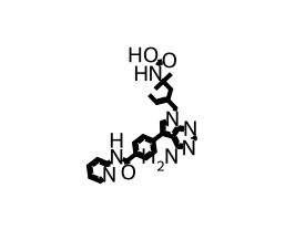 CC=C(Cn1cc(-c2ccc(C(=O)Nc3ccccn3)cc2)c2c(N)ncnc21)CC(C)(C)NC(=O)O